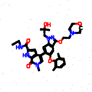 CCNC(=O)c1cc2c(-c3cc4c(cc3Oc3c(C)cccc3C)c(OCCN3CCOCC3)nn4CC(C)(C)O)cn(C)c(=O)c2[nH]1